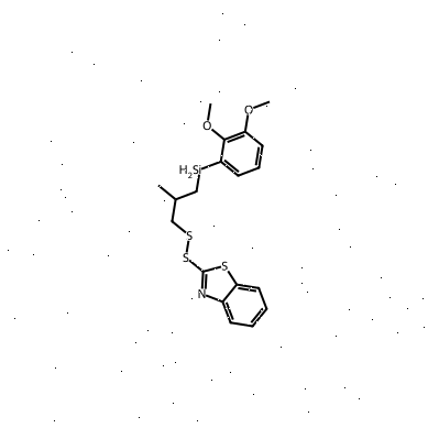 COc1cccc([SiH2]CC(C)CSSc2nc3ccccc3s2)c1OC